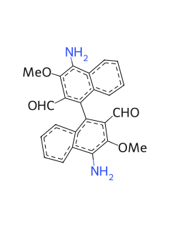 COc1c(C=O)c(-c2c(C=O)c(OC)c(N)c3ccccc23)c2ccccc2c1N